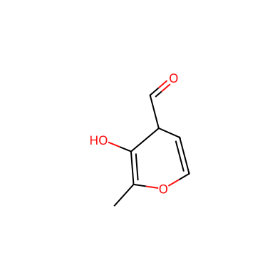 CC1=C(O)C(C=O)C=CO1